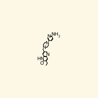 CCc1cc2ncc(CN3CCN(c4ccc(N)nc4)CC3)cc2[nH]c1=O